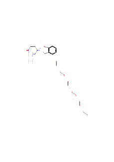 O=C1CCC(N2Cc3c(SCCOCCOCCOCCOCCOCCBr)cccc3C2=O)C(=O)N1